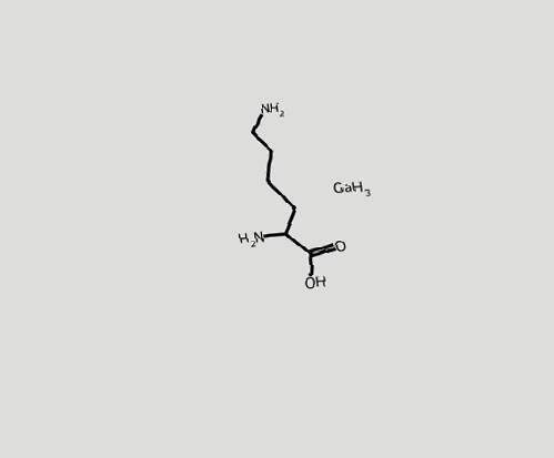 NCCCCC(N)C(=O)O.[GaH3]